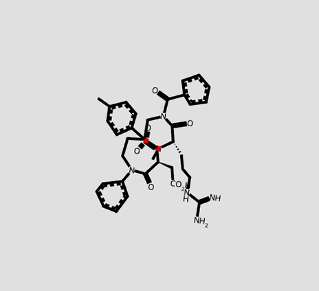 Cc1ccc(S(=O)(=O)N(C)[C@@H](CCCNC(=N)N)C(=O)N(CC2=C[C@@H](CC(=O)O)C(=O)N(c3ccccc3)CC2)C(=O)c2ccccc2)cc1